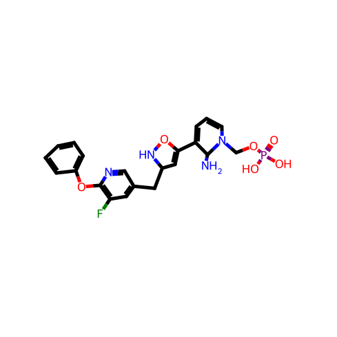 NC1C(C2=CC(Cc3cnc(Oc4ccccc4)c(F)c3)NO2)=CC=CN1COP(=O)(O)O